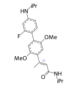 COc1cc(-c2ccc(NC(C)C)cc2F)c(OC)cc1/C(C)=C/C(=O)NC(C)C